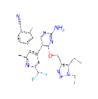 CCc1c(COc2nc(N)nc(-c3cccc(C#N)c3C)c2-c2cc(C)nc(C(F)F)c2)nnn1CC